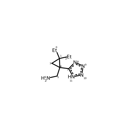 CCC1(CC)CC1(CN)c1nnn[nH]1